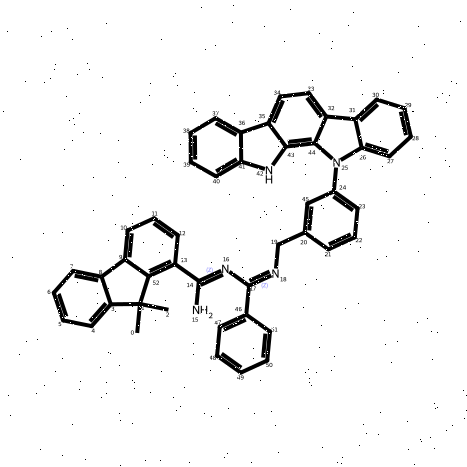 CC1(C)c2ccccc2-c2cccc(/C(N)=N/C(=N\Cc3cccc(-n4c5ccccc5c5ccc6c7ccccc7[nH]c6c54)c3)c3ccccc3)c21